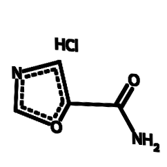 Cl.NC(=O)c1cnco1